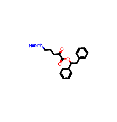 [N-]=[N+]=NCCCC(=O)C(=O)OC(Cc1ccccc1)c1ccccc1